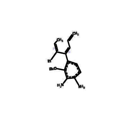 C=C/C=C(\C(=C/C)CC)c1ccc(N)c(N)c1OCC(C)C